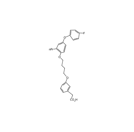 CCCc1cc(Oc2ccc(F)cc2)ccc1OCCCCOc1cccc(CC(=O)O)c1